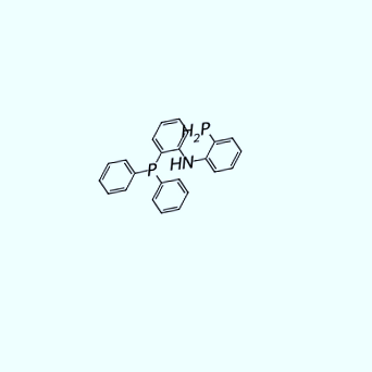 Pc1ccccc1Nc1ccccc1P(c1ccccc1)c1ccccc1